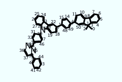 CC1(C)c2ccccc2-c2ccc(-c3ccc(-c4ccc5c(c4)c4ccccc4n5-c4ccc(-c5nccc(-c6ccccc6)n5)cc4)cc3)cc21